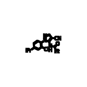 CCC(=O)Nc1c(C#N)cnn1-c1ccc(C(C)C)cc1Cl